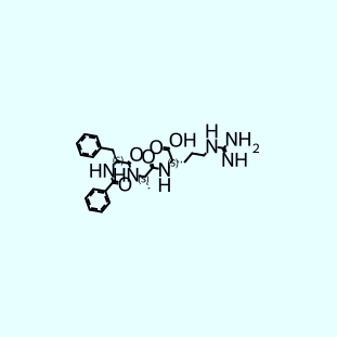 C[C@H](NC(=O)[C@H](Cc1ccccc1)NC(=O)c1ccccc1)C(=O)N[C@@H](CCCNC(=N)N)C(=O)O